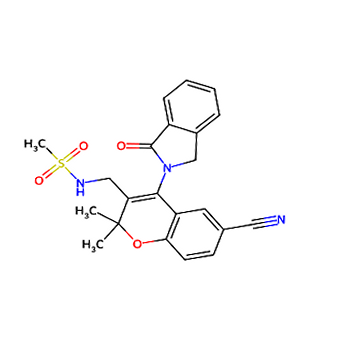 CC1(C)Oc2ccc(C#N)cc2C(N2Cc3ccccc3C2=O)=C1CNS(C)(=O)=O